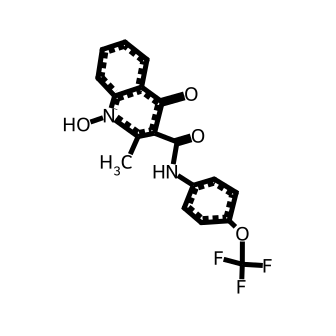 Cc1c(C(=O)Nc2ccc(OC(F)(F)F)cc2)c(=O)c2ccccc2n1O